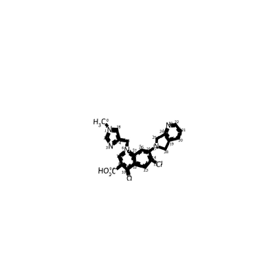 Cn1cnc(Cn2cc(C(=O)O)c(=O)c3cc(Cl)c(N4Cc5cccnc5C4)cc32)c1